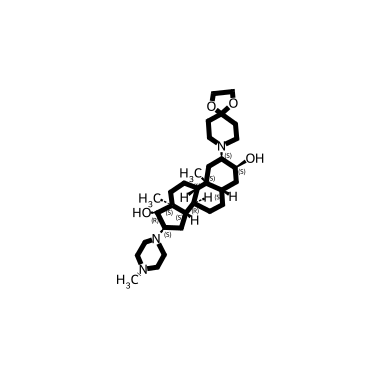 CN1CCN([C@H]2C[C@H]3[C@@H]4CC[C@H]5C[C@H](O)[C@@H](N6CCC7(CC6)OCCO7)C[C@]5(C)[C@H]4CC[C@]3(C)[C@H]2O)CC1